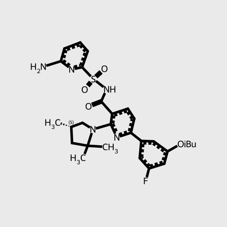 CC(C)COc1cc(F)cc(-c2ccc(C(=O)NS(=O)(=O)c3cccc(N)n3)c(N3C[C@@H](C)CC3(C)C)n2)c1